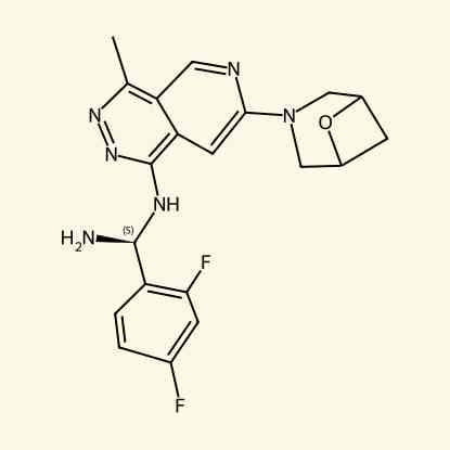 Cc1nnc(N[C@H](N)c2ccc(F)cc2F)c2cc(N3CC4CC(C3)O4)ncc12